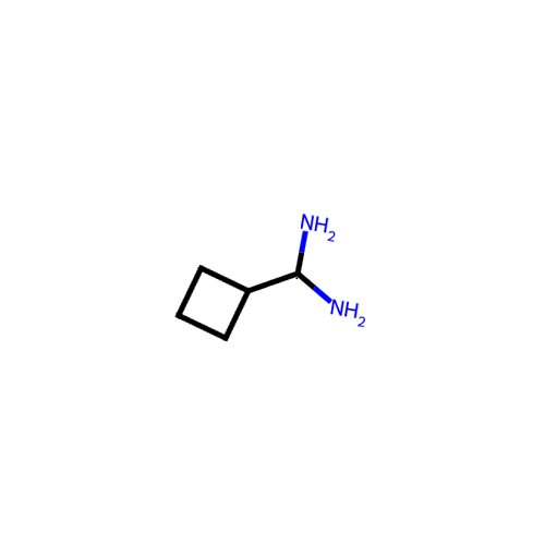 N[C](N)C1CCC1